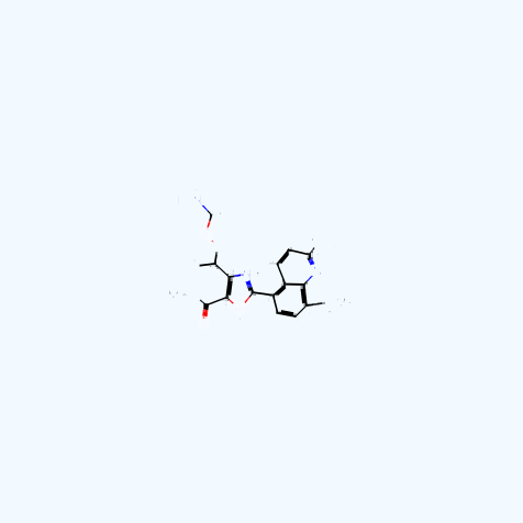 COC(=O)c1oc(-c2ccc(OC)c3nc(C(F)(F)F)ccc23)nc1C(C)BOCN